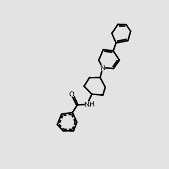 O=C(NC1CCC(N2C=CC(C3=CCC=CC3)=CC2)CC1)c1ccccc1